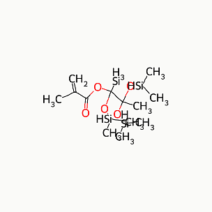 C=C(C)C(=O)OC([SiH3])(O[SiH](C)C)C(C)(O[SiH](C)C)O[SiH](C)C